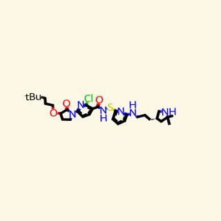 CC(C)(C)CCCOC1CCN(c2ccc(C(=O)NSc3cccc(NCCC[C@@H]4CNC(C)(C)C4)n3)c(Cl)n2)C1=O